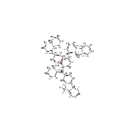 CC1(C)c2ccccc2-c2ccc(N(c3ccc(-c4cccc5c4oc4ccccc45)cc3)c3ccccc3-c3cccc(-c4cccc5ccccc45)c3)cc21